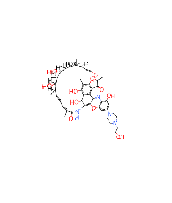 CC(=O)O[C@H]1[C@H](C)[C@H](O)[C@H](C)[C@@H](O)[C@@H](C)/C=C/C=C(/C)C(=O)NC2=C3Oc4cc(N5CCN(CCO)CC5)cc(O)c4N=C3c3c4c(c(C)c(O)c3C2O)O[C@](C)(O/C=C/[C@H](C)[C@H]1C)C4=O